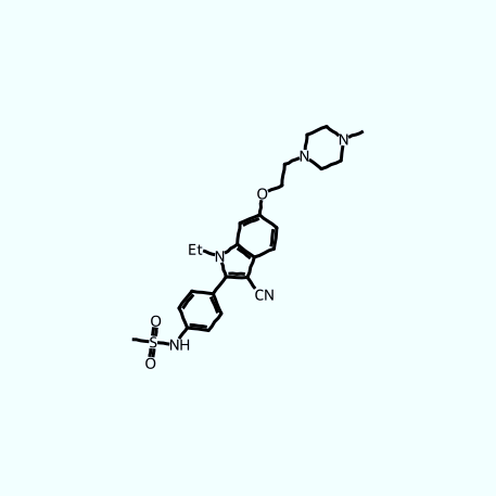 CCn1c(-c2ccc(NS(C)(=O)=O)cc2)c(C#N)c2ccc(OCCN3CCN(C)CC3)cc21